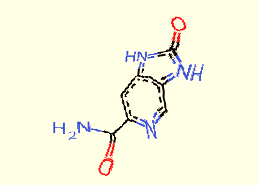 NC(=O)c1cc2[nH]c(=O)[nH]c2cn1